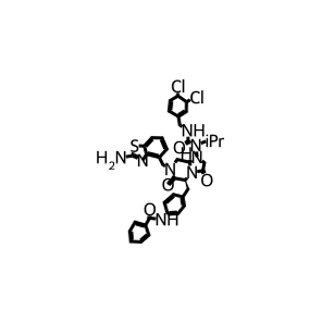 CC(C)N(C(=O)NCC1=CC(Cl)C(Cl)C=C1)N1CC(=O)N2[C@@H](Cc3ccc(NC(=O)c4ccccc4)cc3)C(=O)N(Cc3cccc4sc(N)nc34)C[C@@H]21